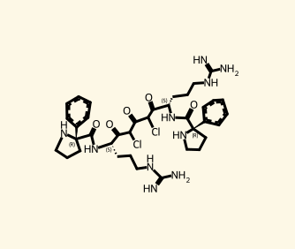 N=C(N)NCCC[C@H](NC(=O)[C@]1(c2ccccc2)CCCN1)C(=O)C(Cl)C(=O)C(Cl)C(=O)[C@H](CCCNC(=N)N)NC(=O)[C@]1(c2ccccc2)CCCN1